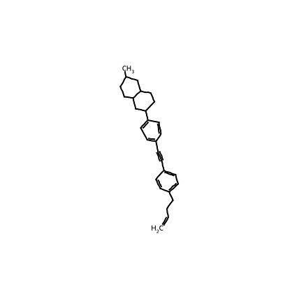 C=CCCc1ccc(C#Cc2ccc(C3CCC4CC(C)CCC4C3)cc2)cc1